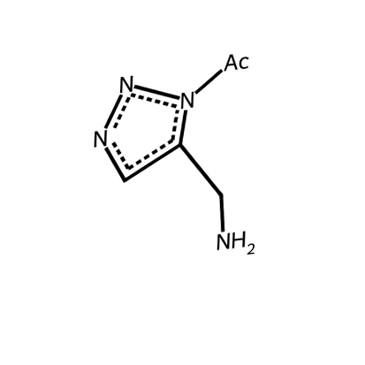 CC(=O)n1nncc1CN